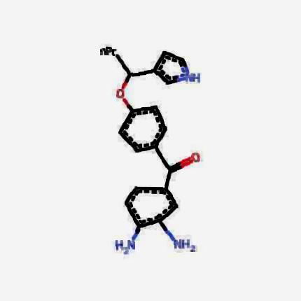 CCCC(Oc1ccc(C(=O)c2ccc(N)c(N)c2)cc1)c1cc[nH]c1